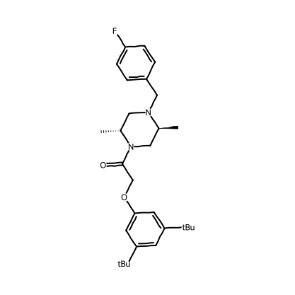 C[C@@H]1CN(Cc2ccc(F)cc2)[C@@H](C)CN1C(=O)COc1cc(C(C)(C)C)cc(C(C)(C)C)c1